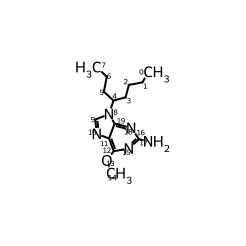 CCCCC(CCC)n1cnc2c(OC)nc(N)nc21